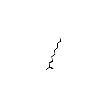 C=C(C)/C=C/CCCCCCC